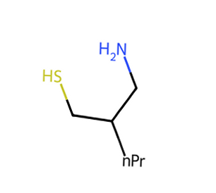 CCCC(CN)CS